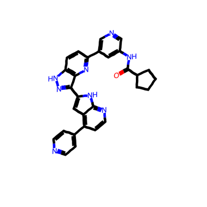 O=C(Nc1cncc(-c2ccc3[nH]nc(-c4cc5c(-c6ccncc6)ccnc5[nH]4)c3n2)c1)C1CCCC1